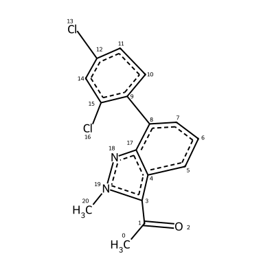 CC(=O)c1c2cccc(-c3ccc(Cl)cc3Cl)c2nn1C